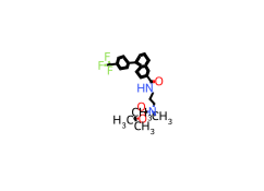 CN(CCCNC(=O)c1ccc2c(-c3ccc(C(F)(F)F)cc3)cccc2c1)C(=O)OC(C)(C)C